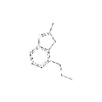 CCCc1cccc2c1CC(C)=C2